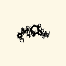 COC(=O)Nc1ccc2c(c1)NC(=O)CCCC[C@H](NC(=O)c1cn(-c3cccc(Cl)c3)nn1)c1nc-2c[nH]1